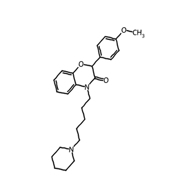 COc1ccc(C2Oc3ccccc3N(CCCCCN3CCCCC3)C2=O)cc1